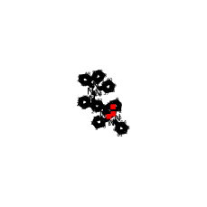 c1ccc(-c2cc(-c3ccccc3-n3c4ccccc4c4cc5c(cc43)c3ccccc3n5-c3nc(-c4ccccc4)nc(-c4ccccc4-c4ccccc4)n3)nc(-c3ccccc3)n2)cc1